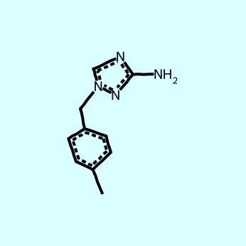 Cc1ccc(Cn2cnc(N)n2)cc1